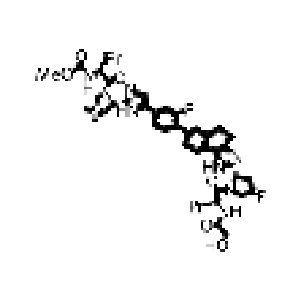 COC(=O)N[C@H](C(=O)N1C[Si](C)(C)C[C@H]1c1ncc(-c2ccc(-c3ccc4c(ccc5nc([C@@H]6C[C@@H](F)CN6C(=O)[C@@H](NC(=O)CO)C(C)C)[nH]c54)c3)c(F)c2)[nH]1)C(C)C